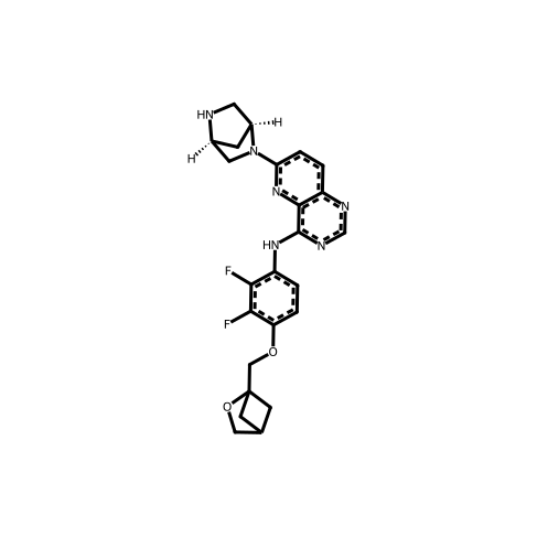 Fc1c(Nc2ncnc3ccc(N4C[C@@H]5C[C@H]4CN5)nc23)ccc(OCC23CC(CO2)C3)c1F